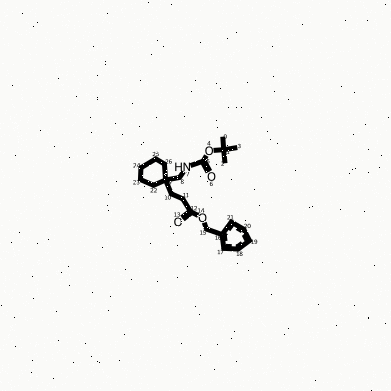 CC(C)(C)OC(=O)NCC1(CCC(=O)OCc2ccccc2)CCCCC1